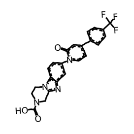 O=C(O)N1CCn2c(nc3cc(-n4ccc(-c5ccc(C(F)(F)F)cc5)cc4=O)ccc32)C1